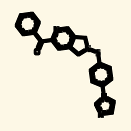 O=C(c1ccccc1)c1cc2c(cn1)CN(Sc1ccc(-n3ccnc3)cc1)C2